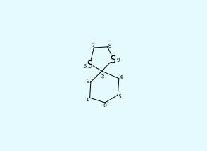 [CH]1CCC2(CC1)SCCS2